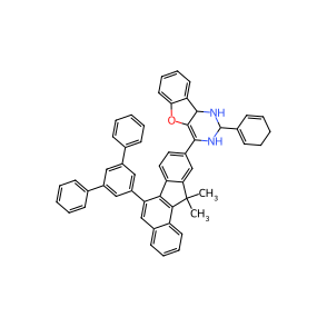 CC1(C)c2cc(C3=C4Oc5ccccc5C4NC(C4=CCCC=C4)N3)ccc2-c2c(-c3cc(-c4ccccc4)cc(-c4ccccc4)c3)cc3ccccc3c21